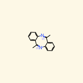 C/C1=N/c2ccccc2/C(C)=N\c2ccccc21